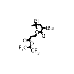 CCC(C)(C)CC(C(=O)OCCC(=O)OC(C(F)(F)F)C(F)(F)F)C(C)(C)C